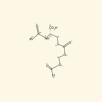 CCC(=O)OCOC(=O)SC[C@H](NC(=O)C(C)C)C(=O)O